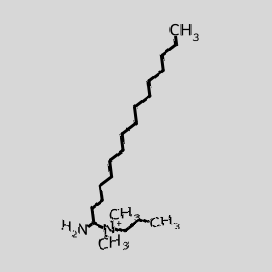 CCCCCCCCCCCCCCCC(N)[N+](C)(C)CCC